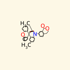 Cc1ccc2c(c1)C1(c3ccccc3Oc3ccccc31)c1cc(C)ccc1N2c1ccc2c(c1)C(=O)OCC2